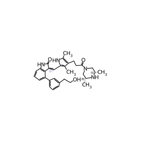 Cc1[nH]c(/C=C2\C(=O)Nc3cccc(-c4cccc(CCO)c4)c32)c(C)c1CCC(=O)N1C[C@@H](C)N[C@@H](C)C1